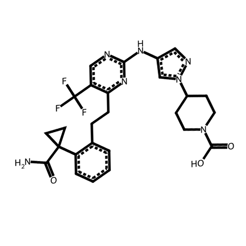 NC(=O)C1(c2ccccc2CCc2nc(Nc3cnn(C4CCN(C(=O)O)CC4)c3)ncc2C(F)(F)F)CC1